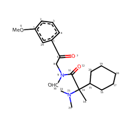 COc1cccc(C(=O)CN(C=O)C(=O)C(C)(C2CCCCC2)N(C)C)c1